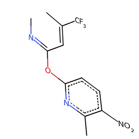 C/N=C(\C=C(/C)C(F)(F)F)Oc1ccc([N+](=O)[O-])c(C)n1